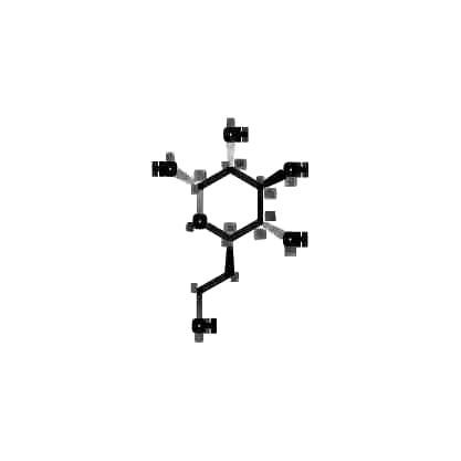 OCC[C@H]1O[C@H](O)[C@H](O)[C@@H](O)[C@@H]1O